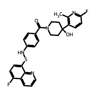 Cc1nc(F)ccc1C1(O)CCN(C(=O)c2ccc(NSc3ccc(F)c4cccnc34)cc2)CC1